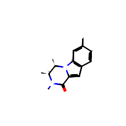 CCN1C(=O)c2cc3ccc(C(=O)O)cc3n2[C@H](C)[C@@H]1C